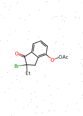 CCC1(Br)Cc2c(OOC(C)=O)cccc2C1=O